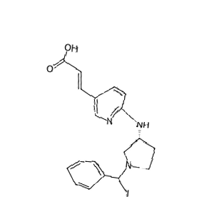 O=C(O)C=Cc1ccc(N[C@@H]2CCN(C(I)c3ccccc3)C2)nc1